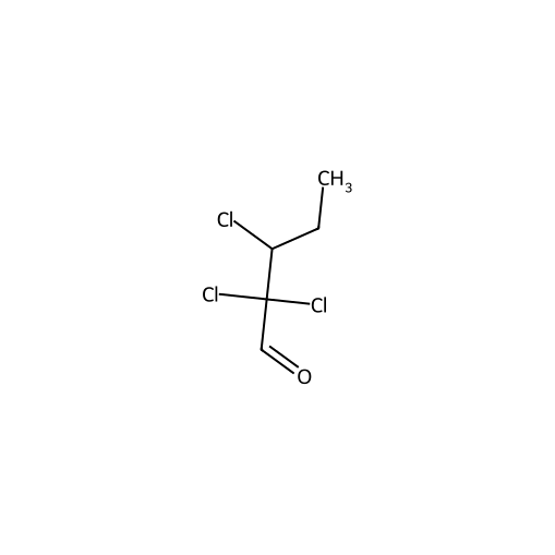 CCC(Cl)C(Cl)(Cl)C=O